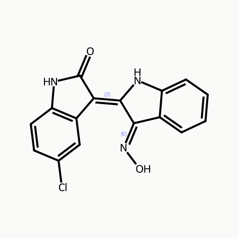 O=C1Nc2ccc(Cl)cc2/C1=C1/Nc2ccccc2/C1=N\O